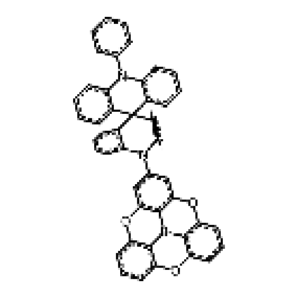 c1ccc(N2c3ccccc3C3(c4ccccc42)c2ccccc2N(c2cc4c5c(c2)Oc2cccc6c2B5c2c(cccc2O4)O6)c2ccccc23)cc1